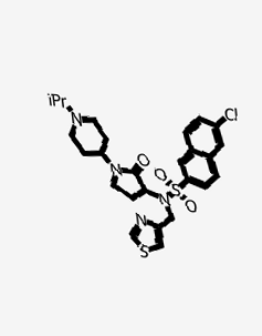 CC(C)N1CCC(N2CCC(N(Cc3cscn3)S(=O)(=O)c3ccc4cc(Cl)ccc4c3)C2=O)CC1